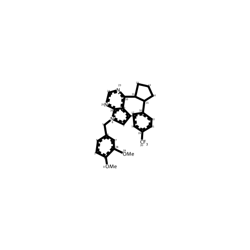 COc1ccc(Cn2ccc3c(C4CCCC4c4ccc(C(F)(F)F)cc4)ncnc32)cc1OC